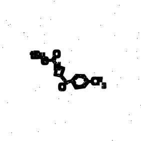 CC(C)(C)OC(=O)N1CC(C(=O)c2ccc(C(F)(F)F)cc2)C1